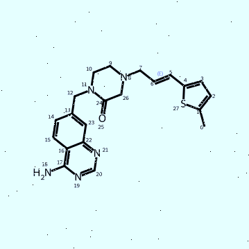 Cc1ccc(/C=C/CN2CCN(Cc3ccc4c(N)ncnc4c3)C(=O)C2)s1